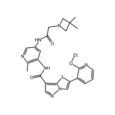 CCOc1ncccc1-c1cn2ncc(C(=O)Nc3cc(NC(=O)CN4CC(C)(C)C4)cnc3C)c2s1